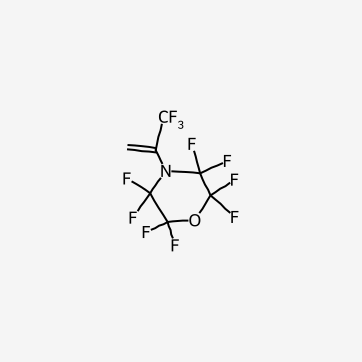 C=C(N1C(F)(F)C(F)(F)OC(F)(F)C1(F)F)C(F)(F)F